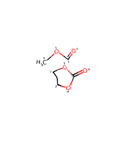 COC=O.O=C1OCCO1